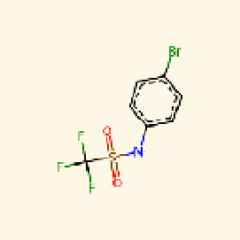 O=S(=O)([N]c1ccc(Br)cc1)C(F)(F)F